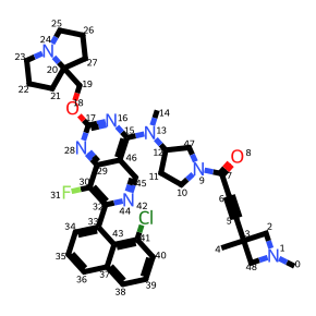 CN1CC(C)(C#CC(=O)N2CCC(N(C)c3nc(OCC45CCCN4CCC5)nc4c(F)c(-c5cccc6cccc(Cl)c56)ncc34)C2)C1